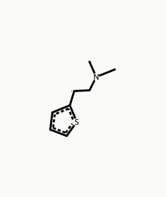 CN(C)C[CH]c1cccs1